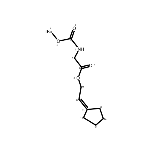 CC(C)(C)OC(=O)NCC(=O)OCC=C1CCCC1